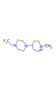 [CH2-][NH+]1CCC(N2CCN(CC(F)(F)F)CC2)CC1